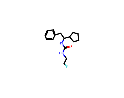 O=C(NCCF)NC(Cc1ccccc1)C1CCCC1